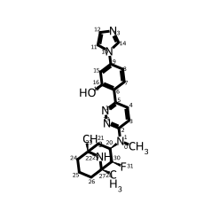 CN(c1ccc(-c2ccc(-n3ccnc3)cc2O)nn1)[C@@H]1C[C@@]2(C)CCC[C@](C)(N2)[C@@H]1F